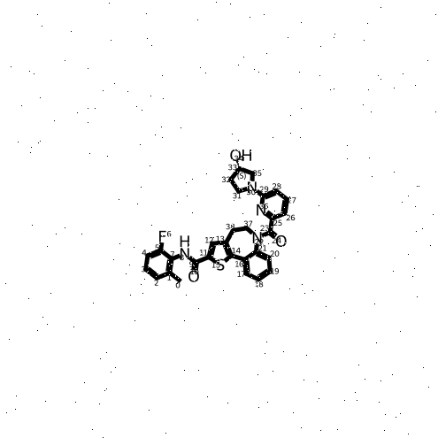 Cc1cccc(F)c1NC(=O)c1cc2c(s1)-c1ccccc1N(C(=O)c1cccc(N3CC[C@H](O)C3)n1)CC2